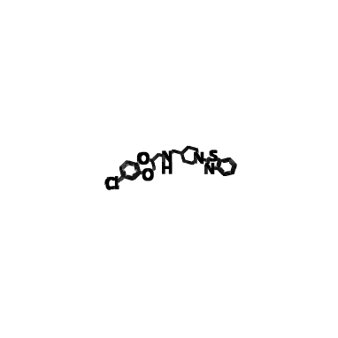 Clc1ccc2c(c1)OCC(CNCC1CCN(c3nc4ccccc4s3)CC1)O2